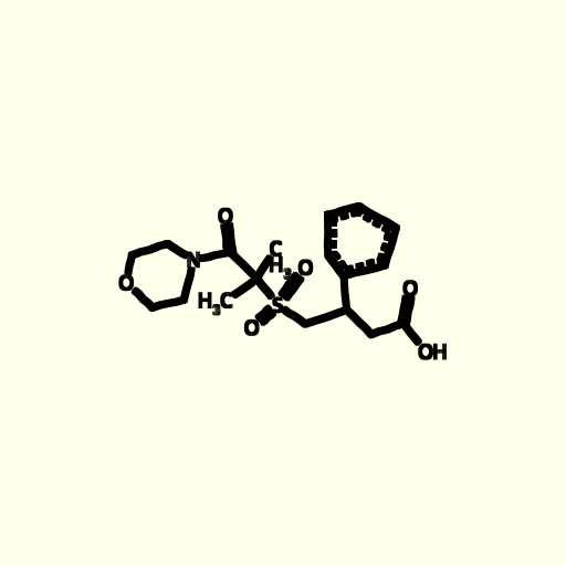 CC(C)(C(=O)N1CCOCC1)S(=O)(=O)CC(CC(=O)O)c1ccccc1